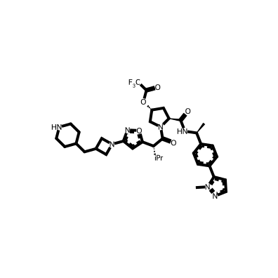 CC(C)[C@@H](C(=O)N1C[C@H](OC(=O)C(F)(F)F)C[C@H]1C(=O)N[C@@H](C)c1ccc(-c2ccnn2C)cc1)c1cc(N2CC(CC3CCNCC3)C2)no1